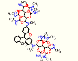 CNC(=O)OC(C(O)C(=O)NC)C(OC(=O)NC)C(OC(=O)NC)C(OC(=O)NC)N(C)c1ccc2c(-c3ccccc3C)c3cc/c(=[N+](/C)C(OC(=O)NC)C(OC(=O)NC)C(OC(=O)NC)C(OC(=O)NC)C(O)C(=O)NC)cc-3oc2c1